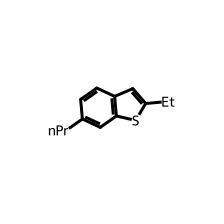 CCCc1ccc2cc(CC)sc2c1